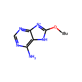 CC(C)(C)OC1=[N+]c2ncnc(N)c2N1